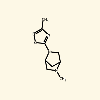 Cc1noc(N2CC3CC2CN3C)n1